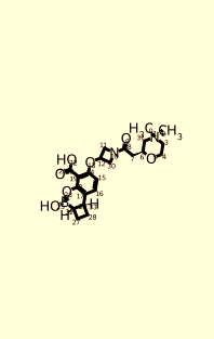 C[N+]1(C)CCO[C@@H](CC(=O)N2CC(Oc3ccc4c(c3C(=O)O)OB(O)[C@@H]3CC[C@H]43)C2)C1